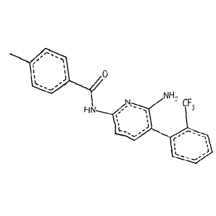 Cc1ccc(C(=O)Nc2ccc(-c3ccccc3C(F)(F)F)c(N)n2)cc1